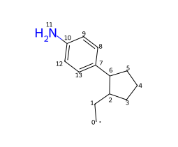 [CH2]CC1CCCC1c1ccc(N)cc1